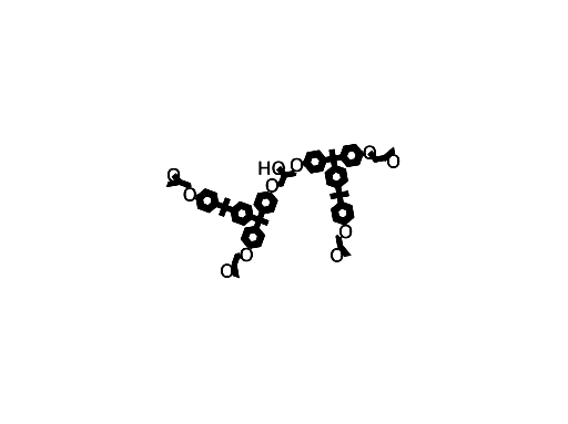 CC(C)(c1ccc(OCC2CO2)cc1)c1ccc(C(C)(c2ccc(OCC(O)COc3ccc(C(C)(c4ccc(OCC5CO5)cc4)c4ccc(C(C)(C)c5ccc(OCC6CO6)cc5)cc4)cc3)cc2)c2ccc(OCC3CO3)cc2)cc1